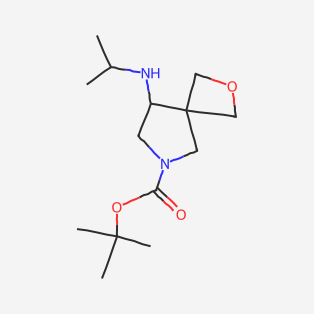 CC(C)NC1CN(C(=O)OC(C)(C)C)CC12COC2